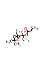 C=CC(=O)OC(C)(C)C(C)OC(C)(C)C